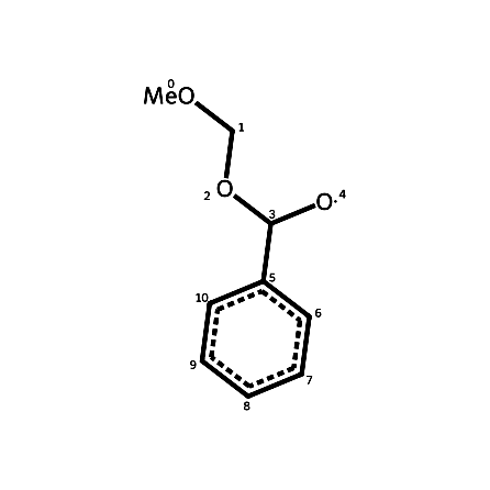 COCOC([O])c1ccccc1